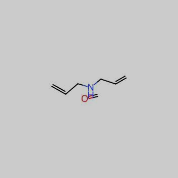 C=CCNCC=C.C=O